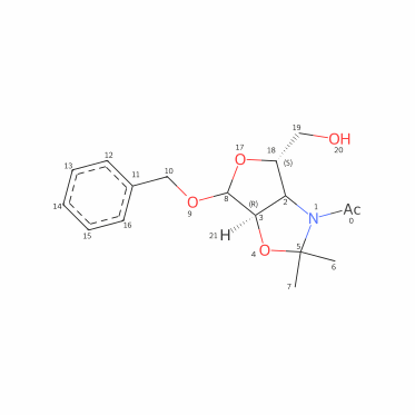 CC(=O)N1C2[C@@H](OC1(C)C)C(OCc1ccccc1)O[C@@H]2CO